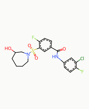 O=C(Nc1ccc(F)c(Cl)c1)c1ccc(F)c(S(=O)(=O)N2CCCCC(O)C2)c1